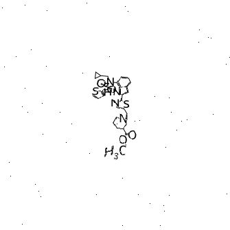 CCOC(=O)C1CCCN(Cc2cnc(-c3cc4cccc(N(CC5CC5)S(=O)(=O)c5cccs5)c4[nH]3)s2)C1